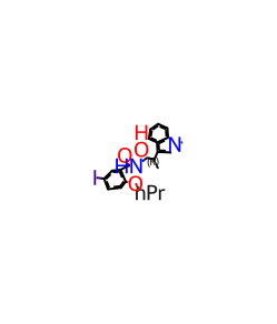 CCCOc1ccc(I)cc1C(=O)NC(O)[C@H](C)c1cn(C)c2ccccc12